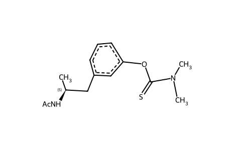 CC(=O)N[C@@H](C)Cc1cccc(OC(=S)N(C)C)c1